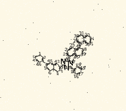 c1ccc(-c2ccc3ccc(-c4nc(-c5ccccc5)nc(-c5cccc6c(-c7cccc8ccccc78)cccc56)n4)cc3c2)cc1